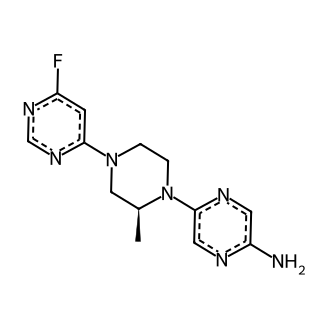 C[C@H]1CN(c2cc(F)ncn2)CCN1c1cnc(N)cn1